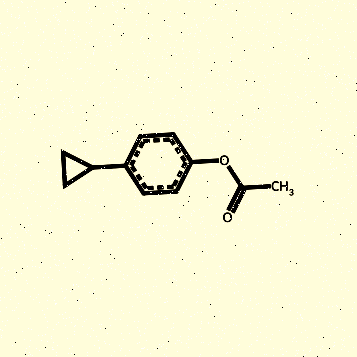 CC(=O)Oc1ccc(C2CC2)cc1